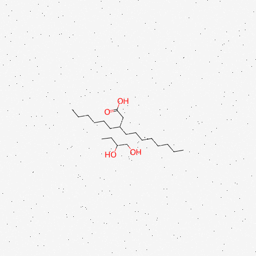 CCC(O)CO.CCCCCCCCC(CCCCCC)CC(=O)O